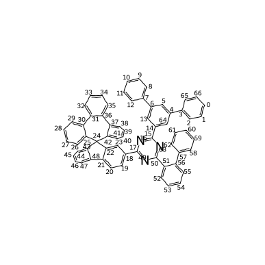 c1ccc(-c2cc(-c3ccccc3)cc(-c3nc(-c4ccc5c(c4)C4(c6ccccc6-c6ccccc6-c6ccccc64)c4ccccc4-5)nc(-c4ccccc4-c4ccccc4)n3)c2)cc1